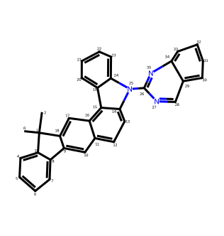 CC1(C)c2ccccc2-c2cc3ccc4c(c3cc21)c1ccccc1n4-c1ncc2ccccc2n1